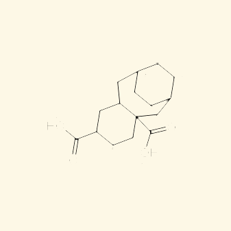 O=C(O)C1CCC2(C(=O)O)CC3CCC(CC3)CC2C1